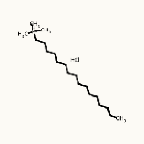 CCCCCCCCCCCCCCCC[PH](C)(C)C.Cl